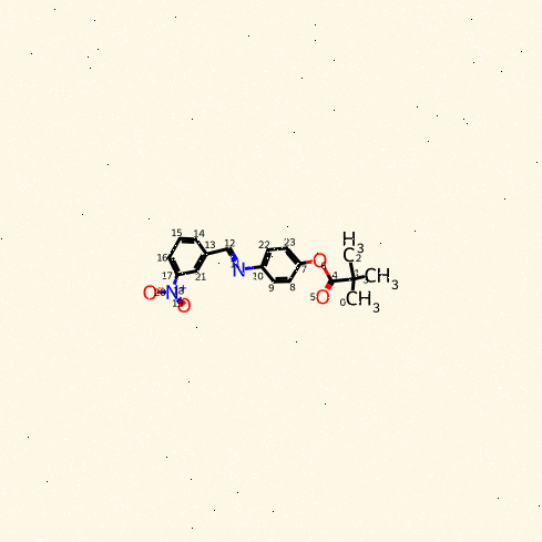 CC(C)(C)C(=O)Oc1ccc(/N=C/c2cccc([N+](=O)[O-])c2)cc1